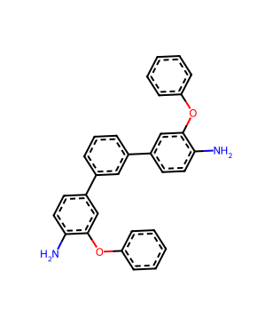 Nc1ccc(-c2cccc(-c3ccc(N)c(Oc4ccccc4)c3)c2)cc1Oc1ccccc1